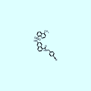 Cc1ccnc2c(S(=O)(=O)Nc3ccc4c(C(=O)NCc5ccc(C#N)cc5)cccc4c3)cccc12